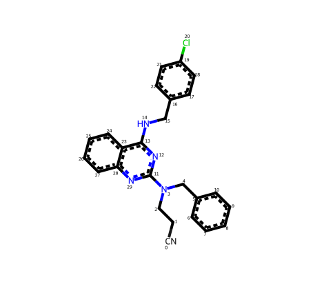 N#CCCN(Cc1ccccc1)c1nc(NCc2ccc(Cl)cc2)c2ccccc2n1